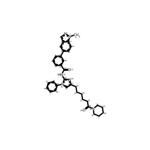 Cn1ncc2cc(-c3cccc(C(=O)Nc4nc(CCCCCC(=O)N5CCCCC5)cn4-c4ccccc4)c3)ccc21